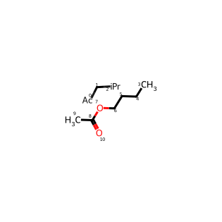 CC(=O)CC(C)C.CCCCOC(C)=O